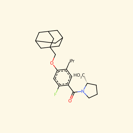 CC(C)c1cc(C(=O)N2CCC[C@H]2C(=O)O)c(F)cc1OCC12CC3CC(CC(C3)C1)C2